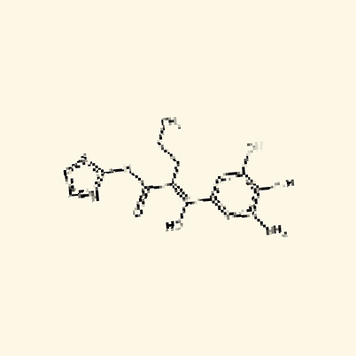 CCC/C(C(=O)Nc1nccs1)=C(/O)c1cc(N)c(O)c(O)c1